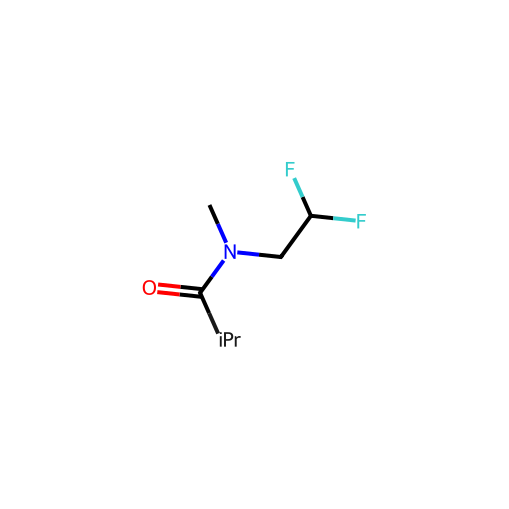 CC(C)C(=O)N(C)CC(F)F